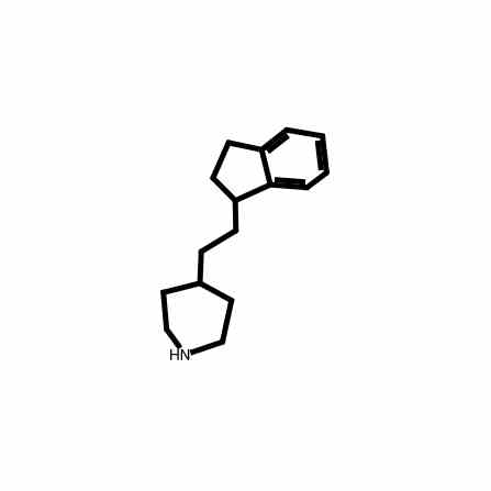 c1ccc2c(c1)CCC2CCC1CCNCC1